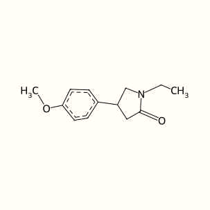 CCN1CC(c2ccc(OC)cc2)CC1=O